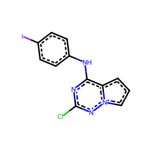 Clc1nc(Nc2ccc(I)cc2)c2cccn2n1